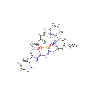 COc1cc(CN(Cc2cc(OC)cc(-c3ccccn3)n2)S(=O)(=O)c2ccc(Cl)s2)nc(-c2ccccn2)c1